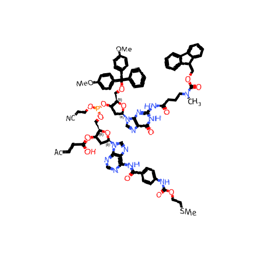 COc1ccc(C(OC[C@H]2O[C@@H](n3cnc4c(=O)[nH]c(NC(=O)CCCN(C)C(=O)OCC5c6ccccc6-c6ccccc65)nc43)CC2OP(OCCC#N)OC[C@H]2O[C@@H](n3cnc4c(NC(=O)c5ccc(NC(=O)OCCSC)cc5)ncnc43)CC2OC(O)CCC(C)=O)(c2ccccc2)c2ccc(OC)cc2)cc1